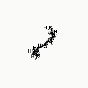 CCNC(=O)[C@@H](O[C@@H]1C[C@H](BC#CCNC(=O)COCCOC(COc2cccc(C(=O)NCCN)c2)SSC)OC1CO)SSC